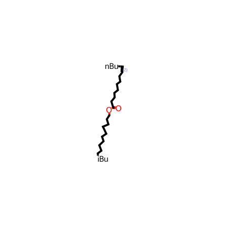 CCCC/C=C\CCCCCCCC(=O)OCCCCCCCCCCC(C)CC